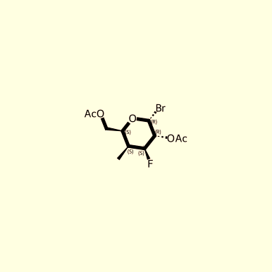 CC(=O)OC[C@H]1O[C@H](Br)[C@H](OC(C)=O)[C@@H](F)[C@H]1C